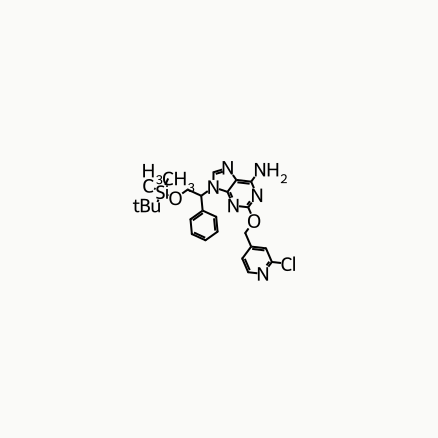 CC(C)(C)[Si](C)(C)OCC(c1ccccc1)n1cnc2c(N)nc(OCc3ccnc(Cl)c3)nc21